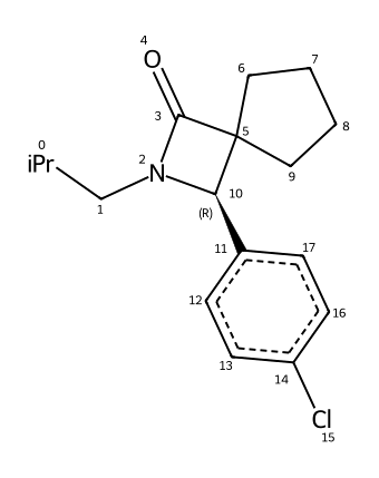 CC(C)CN1C(=O)C2(CCCC2)[C@H]1c1ccc(Cl)cc1